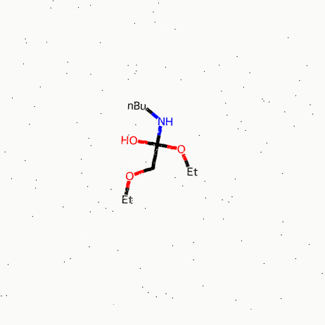 CCCCNC(O)(COCC)OCC